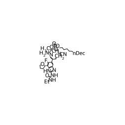 C=C/C(=C\N=C(/N)C(C)(C)OP(=O)(OCCC#N)OCCCCCCCCCCCCCCCC)c1cc2nc(NC(=O)NCC)[nH]c2c([C@H]2CCCO2)c1F